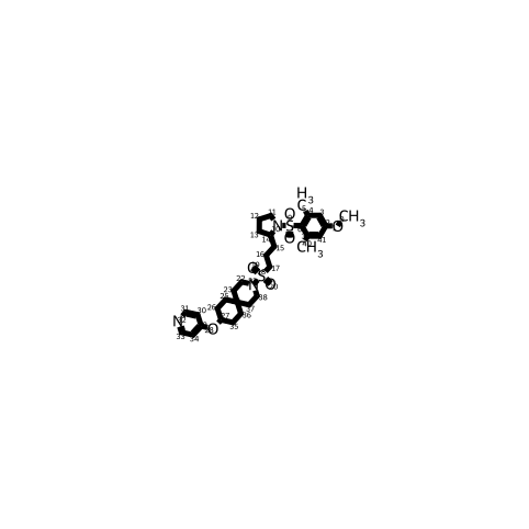 COc1cc(C)c(S(=O)(=O)N2CCCC2CCCS(=O)(=O)N2CCC3(CCC(Oc4ccncc4)CC3)CC2)c(C)c1